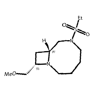 CCS(=O)(=O)N1CCCCN2[C@H](COC)C[C@@H]2C1